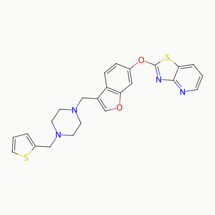 c1csc(CN2CCN(Cc3coc4cc(Oc5nc6ncccc6s5)ccc34)CC2)c1